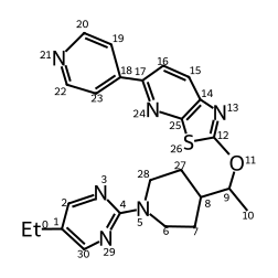 CCc1cnc(N2CCC(C(C)Oc3nc4ccc(-c5ccncc5)nc4s3)CC2)nc1